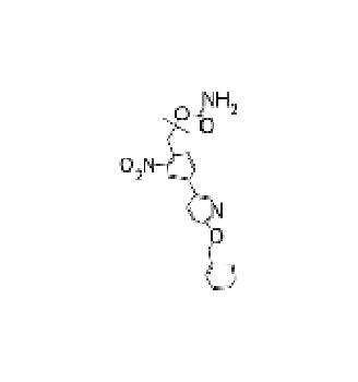 CC(C)(Cc1ccc(-c2ccc(OCc3ccccc3)nc2)cc1[N+](=O)[O-])OC(N)=O